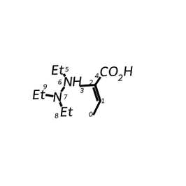 CC=C(C)C(=O)O.CCNN(CC)CC